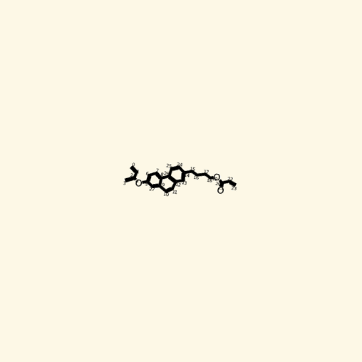 C=CC(=C)Oc1ccc2c(ccc3cc(CCCCOC(=O)C=C)ccc32)c1